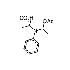 CC(=O)OC(C)N(c1ccccc1)C(C)C(=O)O